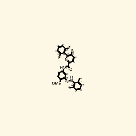 COc1ccc(NC(=O)c2ccc(F)c(-c3c(F)cccc3F)n2)cc1SNc1c(C)cccc1C